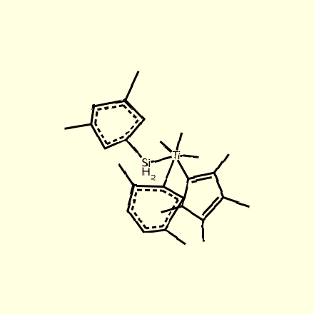 CC1=C(C)C(C)[C]([Ti]([CH3])([CH3])([CH3])([SiH2]c2cc(C)cc(C)c2)[c]2cc(C)ccc2C)=C1C